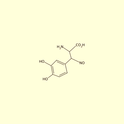 NC(C(=O)O)C(N=O)c1ccc(O)c(O)c1